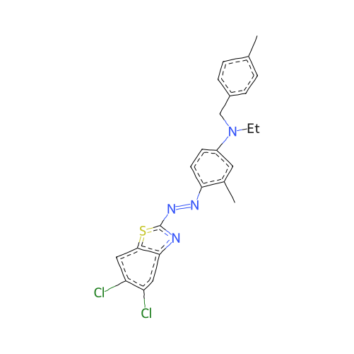 CCN(Cc1ccc(C)cc1)c1ccc(N=Nc2nc3cc(Cl)c(Cl)cc3s2)c(C)c1